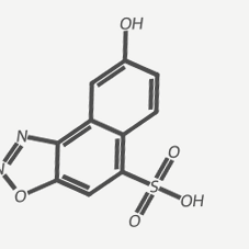 O=S(=O)(O)c1cc2onnc2c2cc(O)ccc12